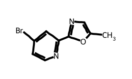 Cc1cnc(-c2cc(Br)ccn2)o1